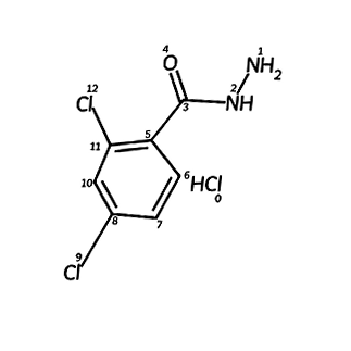 Cl.NNC(=O)c1ccc(Cl)cc1Cl